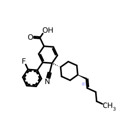 CCC/C=C/[C@H]1CC[C@H](C2(C#N)C=CC(C(=O)O)C=C2c2ccccc2F)CC1